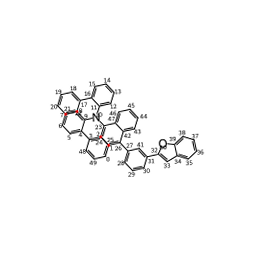 c1ccc(-c2ccccc2N(c2ccccc2-c2ccccc2)c2ccc(-c3cccc(-c4cc5ccccc5o4)c3)c3ccccc23)cc1